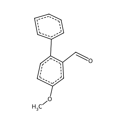 COc1ccc(-c2ccccc2)c(C=O)c1